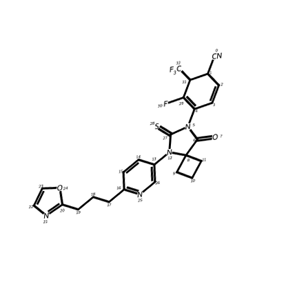 N#CC1C=CC(N2C(=O)C3(CCC3)N(c3ccc(CCCc4ncco4)nc3)C2=S)=C(F)C1C(F)(F)F